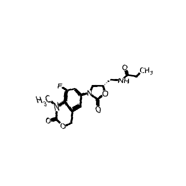 CCC(=O)NC[C@H]1CN(c2cc(F)c3c(c2)COC(=O)N3C)C(=O)O1